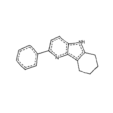 c1ccc(-c2ccc3[nH]c4c(c3n2)CCCC4)cc1